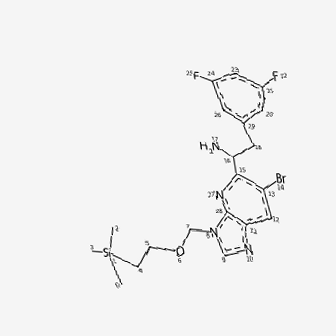 C[Si](C)(C)CCOCn1cnc2cc(Br)c(C(N)Cc3cc(F)cc(F)c3)nc21